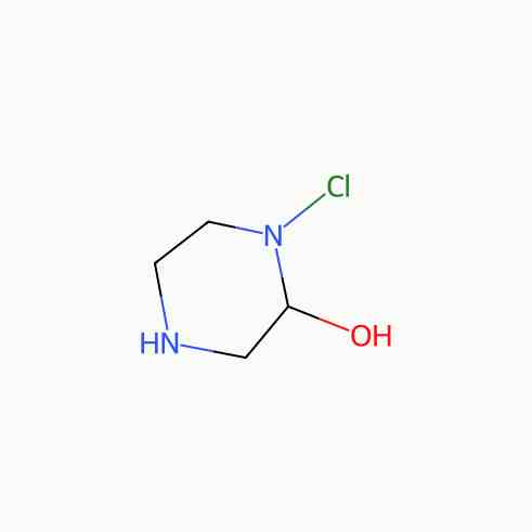 OC1CNCCN1Cl